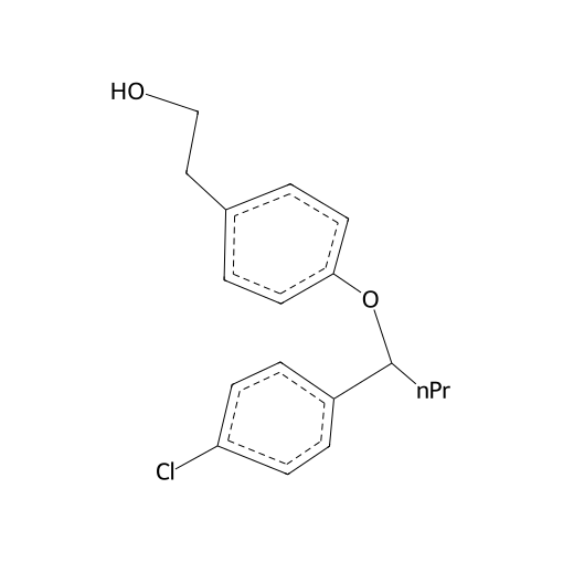 CCCC(Oc1ccc(CCO)cc1)c1ccc(Cl)cc1